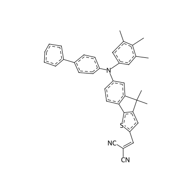 Cc1cc(N(c2ccc(-c3ccccc3)cc2)c2ccc3c(c2)C(C)(C)c2cc(C=C(C#N)C#N)sc2-3)cc(C)c1C